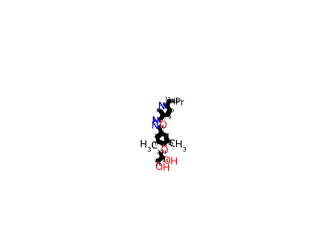 Cc1cc(-c2nnc(-c3ccc(CC(C)C)nc3)o2)cc(C)c1OC[C@@H](O)CO